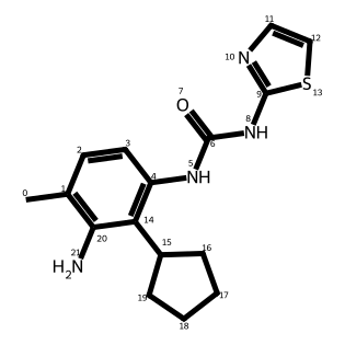 Cc1ccc(NC(=O)Nc2nccs2)c(C2CCCC2)c1N